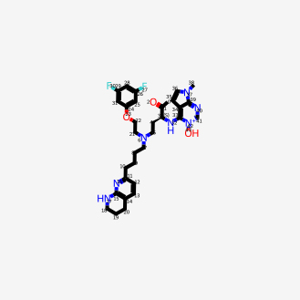 CC(=O)[C@H](CCN(CCCCc1ccc2c(n1)NCCC2)CCOc1cc(F)cc(F)c1)Nc1c2ccn(C)c2nc[n+]1O